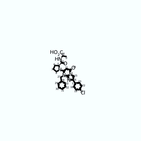 C[C@H](NC(=O)[C@@H]1CCCN1c1cc(=O)n2cc(-c3ccc(Cl)cc3)nc2n1Cc1ccccc1)C(=O)O